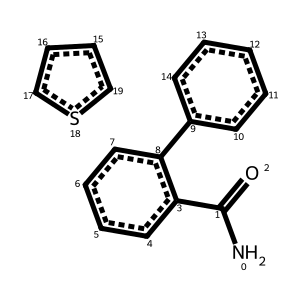 NC(=O)c1ccccc1-c1ccccc1.c1ccsc1